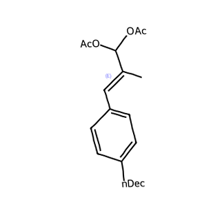 CCCCCCCCCCc1ccc(/C=C(\C)C(OC(C)=O)OC(C)=O)cc1